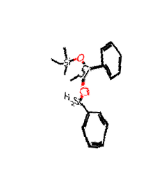 C[Si](C)(C)O[Si](C)(O[SiH2]c1ccccc1)c1ccccc1